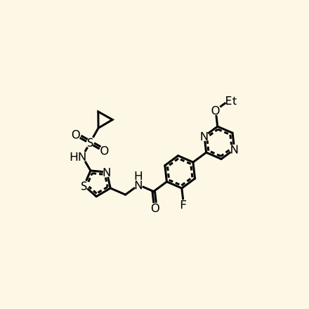 CCOc1cncc(-c2ccc(C(=O)NCc3csc(NS(=O)(=O)C4CC4)n3)c(F)c2)n1